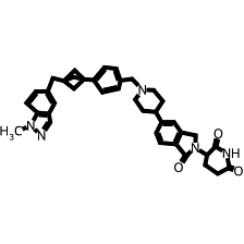 Cn1ncc2cc(CC34CC(c5ccc(CN6CCC(c7ccc8c(c7)CN(C7CCC(=O)NC7=O)C8=O)CC6)cc5)(C3)C4)ccc21